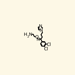 NCCON=C(CCCn1ccnc1)c1ccc(Cl)c(Cl)c1